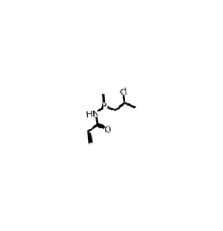 C=CC(=O)NP(C)CC(C)Cl